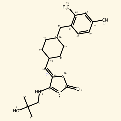 CC(C)(O)CNC1=NC(=O)S/C1=C\C1CCN(Cc2ccc(C#N)cc2C(F)(F)F)CC1